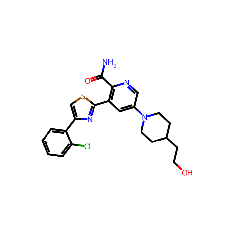 NC(=O)c1ncc(N2CCC(CCO)CC2)cc1-c1nc(-c2ccccc2Cl)cs1